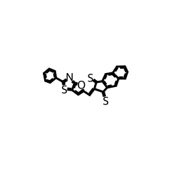 S=C1C(=Cc2cc3sc(-c4ccccc4)nc3o2)C(=S)c2cc3ccccc3cc21